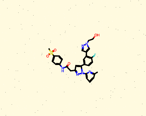 Cc1cccc(-n2nc(CC(=O)Nc3ccc(S(C)(=O)=O)cc3)cc2-c2ccc(F)c(-c3cnn(CCO)c3)c2)n1